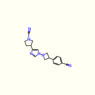 N#Cc1ccc(C2CN(n3cnc(C4CCN(C#N)C4)c3)C2)cc1